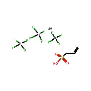 C=CCS(=O)(=O)O.F[B-](F)(F)F.F[B-](F)(F)F.F[B-](F)(F)F.[LiH]